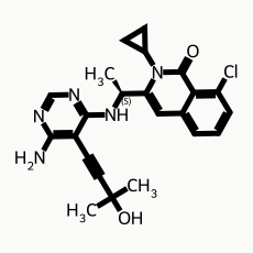 C[C@H](Nc1ncnc(N)c1C#CC(C)(C)O)c1cc2cccc(Cl)c2c(=O)n1C1CC1